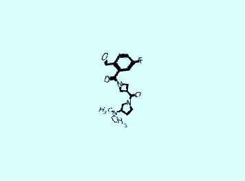 CN(C)C1CCN(C(=O)C2CN(C(=O)c3cc(F)ccc3C=O)C2)C1